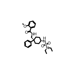 CCN(CC)S(=O)(=O)N[C@H]1CC[C@](CNC(=O)c2ccccc2OC)(c2ccccc2)CC1